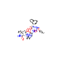 COC(=O)[C@H](C[C@@H]1CCCNC1=O)NC(=O)[C@H](CC(C)C)NC(=O)[C@H](Cc1cccc2ccccc12)NC(=O)OC(C)(C)C